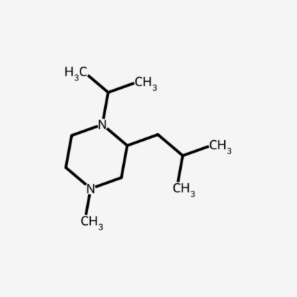 CC(C)CC1CN(C)CCN1C(C)C